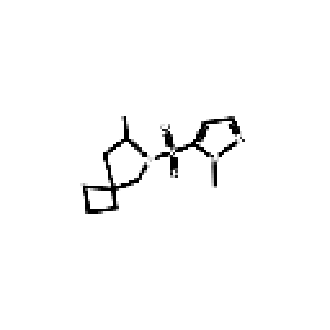 CC1CC2(CCC2)CN1S(=O)(=O)c1ccnn1C